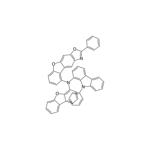 c1ccc(-c2nc3cc4c(cc3o2)oc2cccc(N(c3cccc5c3oc3ccccc35)c3cccc5c6ccccc6n(-c6ccccc6)c35)c24)cc1